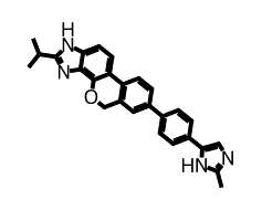 Cc1ncc(-c2ccc(-c3ccc4c(c3)COc3c-4ccc4[nH]c(C(C)C)nc34)cc2)[nH]1